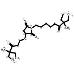 CCC(C)(CC)C(=O)CCCCCN1C(=O)CC(SCCC(=O)C(C)(CC)CC)C1=O